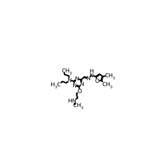 CCCN(CCC)c1nc(/C=N/Nc2cc(C)c(C)o2)nc(OCCNC)n1